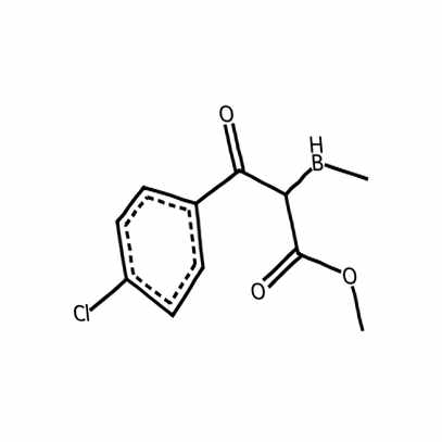 CBC(C(=O)OC)C(=O)c1ccc(Cl)cc1